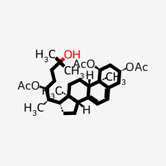 CC(=O)O[C@@H]1CC2=CC=C3[C@@H]4CC[C@H]([C@H](C)[C@H](CCC(C)(C)O)OC(C)=O)[C@@]4(C)CC[C@@H]3[C@@]2(C)[C@@H](OC(C)=O)C1